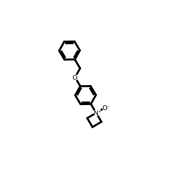 [O-][N+]1(c2ccc(OCc3ccccc3)cc2)CCC1